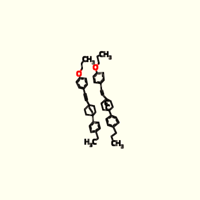 CCCOc1ccc(C#CC23CCC(c4ccc(CC)cc4)(CC2)CC3)cc1.CCCOc1ccc(C#CC23CCC(c4ccc(CCC)cc4)(CC2)CC3)cc1